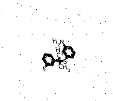 CC(C)(Sc1cccc(N)c1)c1cccc(F)c1